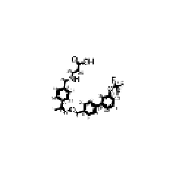 C/C(=N/OCc1ccc(-c2cccc(OC(F)(F)F)c2)cc1)c1ccc(CNCCC(=O)O)cc1